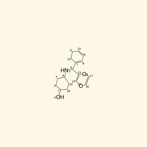 OC1CCC(NC(C2=CC=CCC2)C2=COC=CO2)CC1